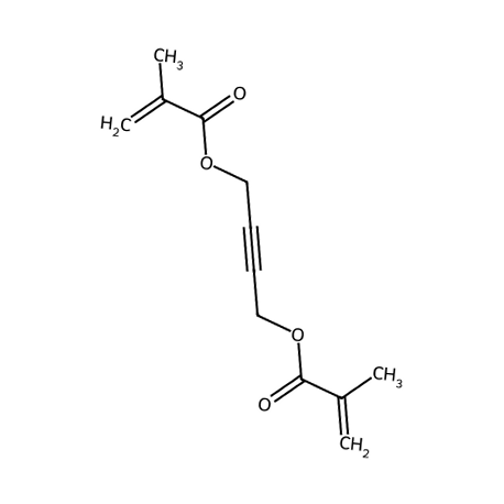 C=C(C)C(=O)OCC#CCOC(=O)C(=C)C